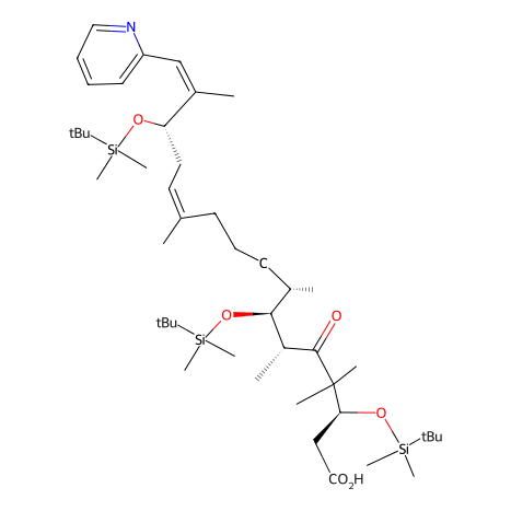 CC(=CC[C@H](O[Si](C)(C)C(C)(C)C)C(C)=Cc1ccccn1)CCC[C@H](C)[C@H](O[Si](C)(C)C(C)(C)C)[C@@H](C)C(=O)C(C)(C)[C@H](CC(=O)O)O[Si](C)(C)C(C)(C)C